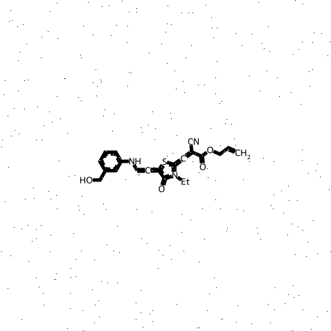 C=CCOC(=O)C(=C=c1sc(=C=CNc2cccc(CO)c2)c(=O)n1CC)C#N